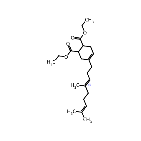 CCOC(=O)C1CC=C(CC/C=C(\C)CCC=C(C)C)CC1C(=O)OCC